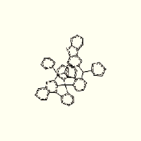 c1ccc(C(c2ccc3sc4ccccc4c3c2)c2cccc3c2-c2ccccc2C32c3ccccc3-c3c2c(N(c2ccccc2)c2ccccc2)cc2ccccc32)cc1